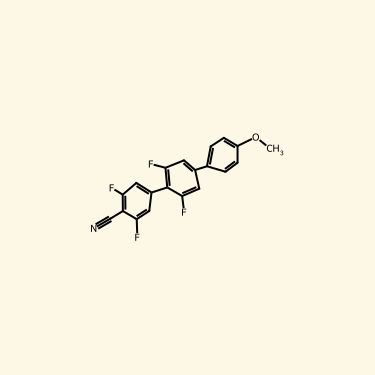 COc1ccc(-c2cc(F)c(-c3cc(F)c(C#N)c(F)c3)c(F)c2)cc1